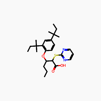 CCCC(Oc1ccc(C(C)(C)CC)cc1C(C)(C)CC)C(Sc1ncccn1)C(=O)O